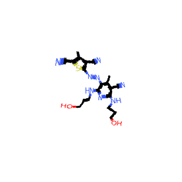 Cc1c(C#N)sc(/N=N/c2c(NCCCO)nc(NCCCO)c(C#N)c2C)c1C#N